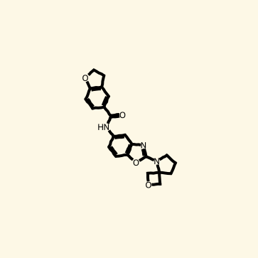 O=C(Nc1ccc2oc(N3CCCC34COC4)nc2c1)c1ccc2c(c1)CCO2